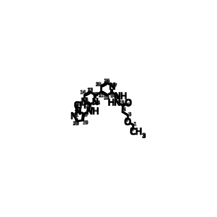 CCOCCC(=O)NNc1cc(-c2ccnc(Nc3ccnn3C)n2)ccn1